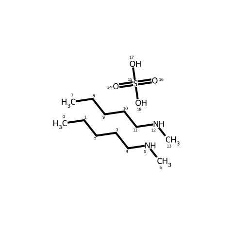 CCCCCNC.CCCCCNC.O=S(=O)(O)O